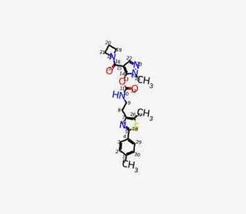 Cc1ccc(-c2nc(CCNC(=O)Oc3c(C(=O)N4CCC4)cnn3C)c(C)s2)cc1